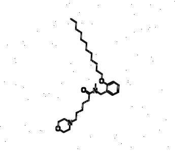 CCCCCCCCCCCCOc1ccccc1CN(C)C(=O)CCCCCN1CCOCC1